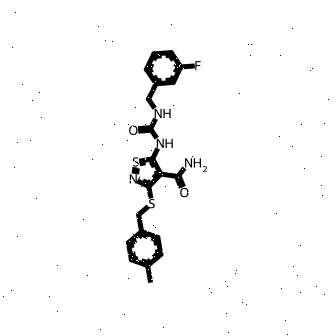 Cc1ccc(CSc2nsc(NC(=O)NCc3cccc(F)c3)c2C(N)=O)cc1